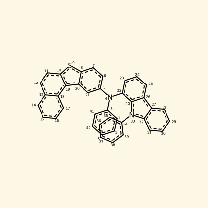 c1ccc(N(c2ccc3sc4ccc5ccccc5c4c3c2)c2cccc3c4ccccc4n(-c4ccccc4)c23)cc1